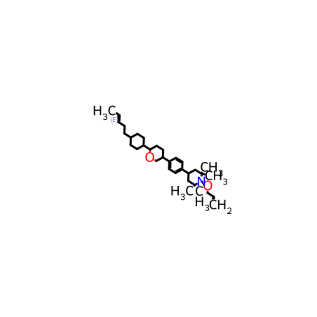 C=CCON1C(C)(C)CC(c2ccc(C3CCC(C4CCC(CC/C=C/C)CC4)OC3)cc2)CC1(C)C